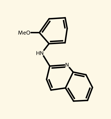 COc1ccccc1Nc1ccc2ccccc2n1